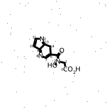 O=C(O)CN(O)C(=O)C1=CN=C2C=CN=C2C1